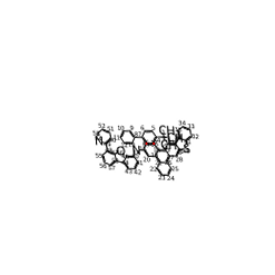 CC(C)(C)c1ccc(-c2ccccc2N(c2ccc3c(c2)c2ccccc2c2cc4sc5ccccc5c4cc32)c2cccc3c2oc2c(-c4ccccn4)cccc23)cc1